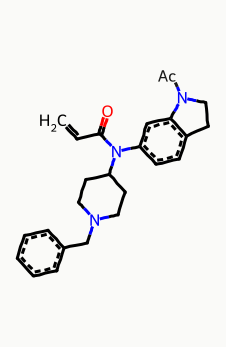 C=CC(=O)N(c1ccc2c(c1)N(C(C)=O)CC2)C1CCN(Cc2ccccc2)CC1